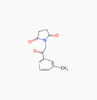 Cc1cccc(C(=O)CN2C(=O)CCC2=O)c1